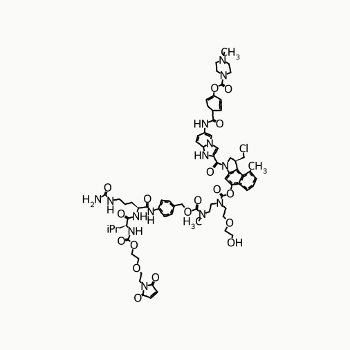 Cc1cccc2c(OC(=O)N(CCOCCO)CCN(C)C(=O)OCc3ccc(NC(=O)[C@H](CCCNC(N)=O)NC(=O)[C@@H](NC(=O)OCCOCCN4C(=O)C=CC4=O)C(C)C)cc3)cc3c(c12)[C@H](CCl)CN3C(=O)C1=CN2C=C(NC(=O)C3C=CC(OC(=O)N4CCN(C)CC4)=CC3)C=CC2N1